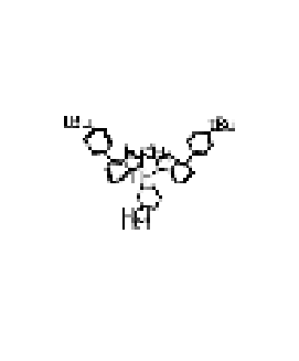 CC1=Cc2c(-c3ccc(C(C)(C)C)cc3)cccc2[CH]1[Hf]1([CH]2C(C)=Cc3c(-c4ccc(C(C)(C)C)cc4)cccc32)[CH]2CCCC[CH]21.Cl.Cl